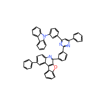 c1ccc(-c2ccc3nc(-c4cccc(-c5nc(-c6ccccc6)cc(-c6cccc(-n7c8ccccc8c8ccccc87)c6)n5)c4)c4oc5ccccc5c4c3c2)cc1